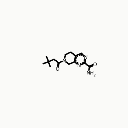 CC(C)(C)CC(=O)N1CCc2[c]nc(C(N)=O)nc2C1